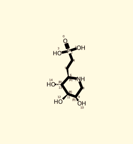 O=P(O)(O)CC[C@H]1NC[C@@H](O)[C@@H](O)[C@@H]1O